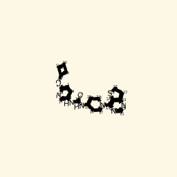 O=C(Nc1ccc(OC2CCC2)nc1)NC1CCN(c2ncnc3c2SCC3)CC1